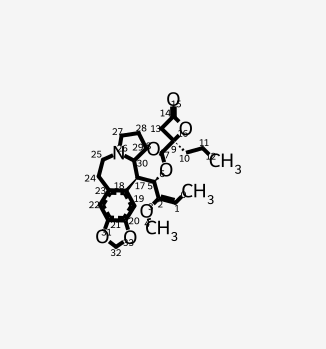 C/C=C(/OC)[C@@H](OC(=O)[C@@]1(CCC)CC(=O)O1)[C@H]1c2cc3c(cc2CCN2CCCC12)OCO3